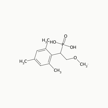 [CH2]OCC(c1c(C)cc(C)cc1C)P(=O)(O)O